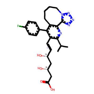 CC(C)c1nc2c(c(-c3ccc(F)cc3)c1/C=C/[C@@H](O)C[C@@H](O)CC(=O)O)CCCCn1nnnc1-2